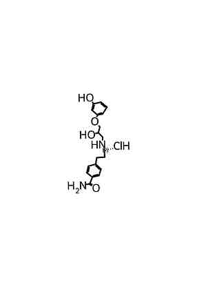 C[C@H](CCc1ccc(C(N)=O)cc1)NCC(O)COc1cccc(O)c1.Cl